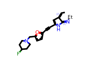 C/C=C1/C=C(C#Cc2ccc(CN3CCC(F)CC3)o2)N/C1=N/CC